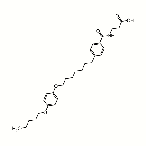 CCCCCOc1ccc(OCCCCCCCc2ccc(C(=O)NCCC(=O)O)cc2)cc1